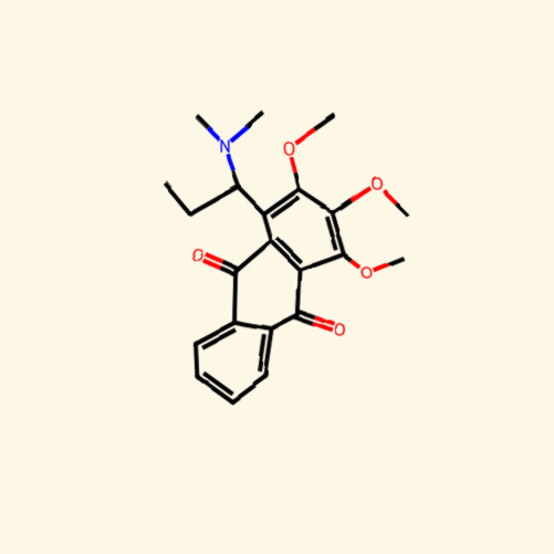 CCC(c1c(OC)c(OC)c(OC)c2c1C(=O)c1ccccc1C2=O)N(C)C